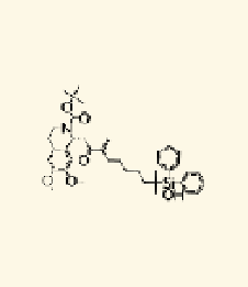 C=C(CCCCCC(C)(C)[Si](O)(c1ccccc1)c1ccccc1)C(=O)C[C@@H]1c2cc(OC)c(OC)cc2CCN1C(=O)OC(C)(C)C